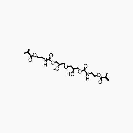 C=C(C)C(=O)OCCNC(=O)OCC(O)COCC(COC(=O)NCCOC(=O)C(=C)C)OC